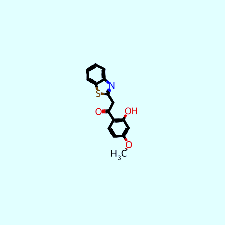 COc1ccc(C(=O)Cc2nc3ccccc3s2)c(O)c1